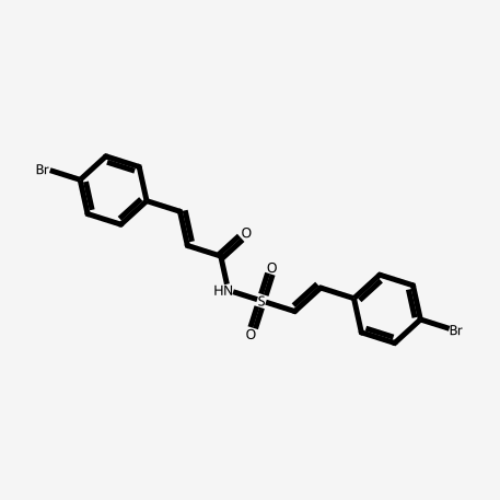 O=C(C=Cc1ccc(Br)cc1)NS(=O)(=O)C=Cc1ccc(Br)cc1